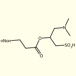 CCCCCCCCCCCC(=O)OC(CN(C)C)CS(=O)(=O)O